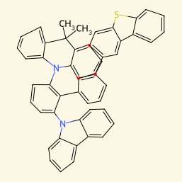 CC1(C)c2ccccc2N(c2cccc(-n3c4ccccc4c4ccccc43)c2-c2cccc(-c3ccc4sc5ccccc5c4c3)c2)c2ccccc21